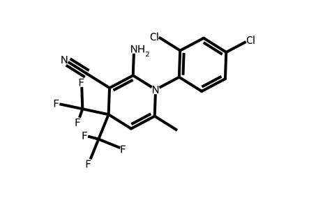 CC1=CC(C(F)(F)F)(C(F)(F)F)C(C#N)=C(N)N1c1ccc(Cl)cc1Cl